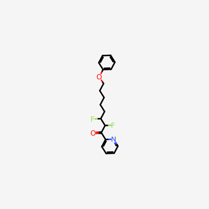 O=C(c1ccccn1)C(F)C(F)CCCCCOc1ccccc1